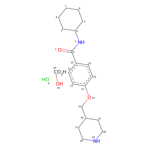 Cl.O=C(NC1CCCCC1)c1ccc(OCC2CCNCC2)cc1.O=C(O)O